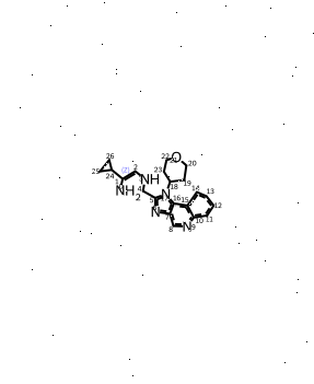 N/C(=C\NCc1nc2cnc3ccccc3c2n1C1CCOCC1)C1CC1